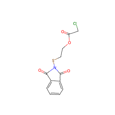 O=C(CCl)OCCSN1C(=O)c2ccccc2C1=O